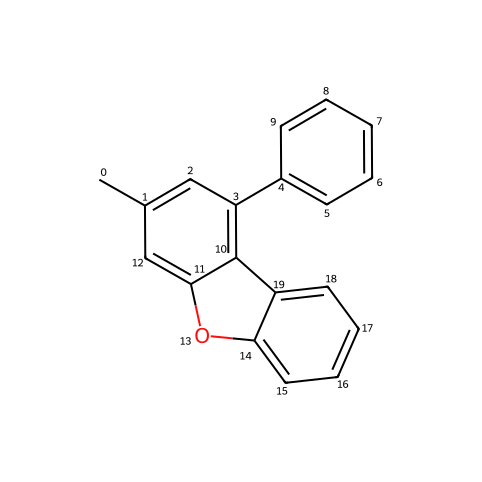 Cc1cc(-c2ccccc2)c2c(c1)oc1ccccc12